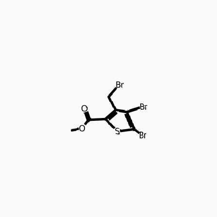 COC(=O)c1sc(Br)c(Br)c1CBr